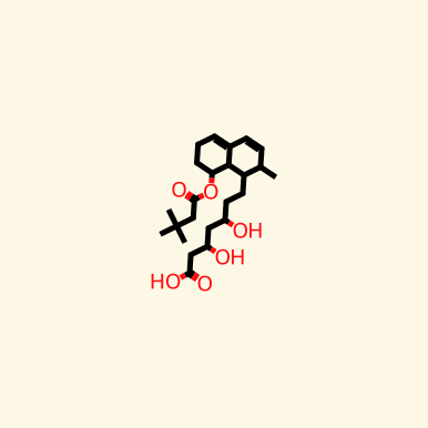 CC1C=CC2=CCCC(OC(=O)CC(C)(C)C)C2C1CCC(O)CC(O)CC(=O)O